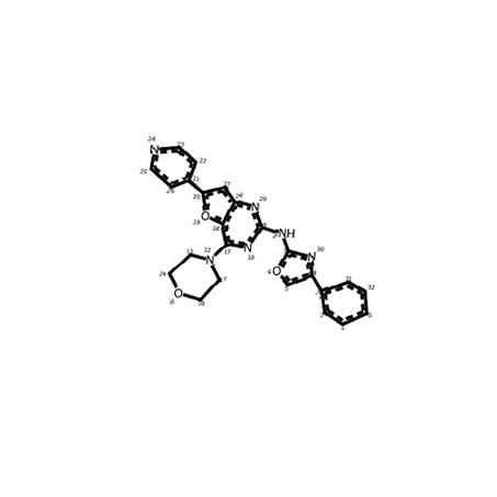 c1ccc(-c2coc(Nc3nc(N4CCOCC4)c4oc(-c5ccncc5)cc4n3)n2)cc1